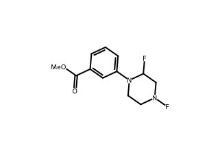 COC(=O)c1cccc(N2CCN(F)CC2F)c1